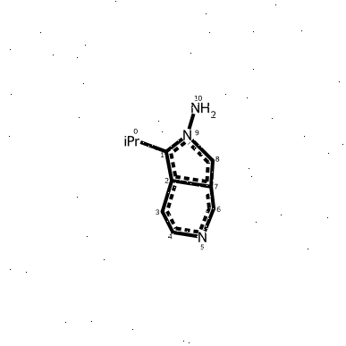 CC(C)c1c2ccncc2cn1N